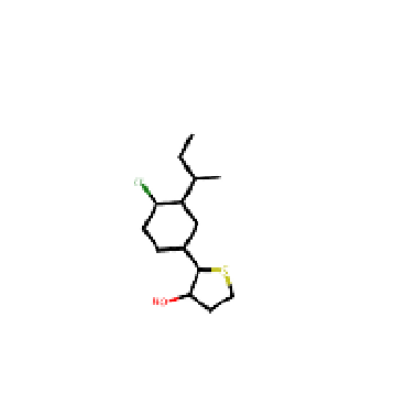 CCC(C)C1CC(C2SCCC2O)CCC1Cl